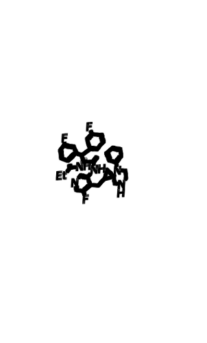 C=C(CC)N[C@H](C(=C)Nc1cncc(F)c1CC1CC12CNCCN2c1ccccc1)C(c1cccc(F)c1)c1cccc(F)c1